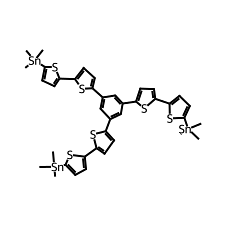 [CH3][Sn]([CH3])([CH3])[c]1ccc(-c2ccc(-c3cc(-c4ccc(-c5cc[c]([Sn]([CH3])([CH3])[CH3])s5)s4)cc(-c4ccc(-c5cc[c]([Sn]([CH3])([CH3])[CH3])s5)s4)c3)s2)s1